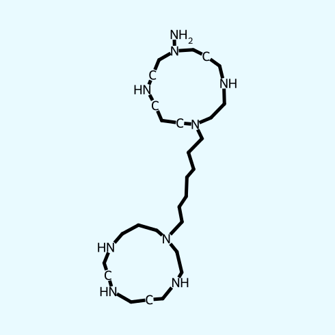 NN1CCCNCCN(CCCCCCCN2CCCNCCNCCCNCC2)CCCNCC1